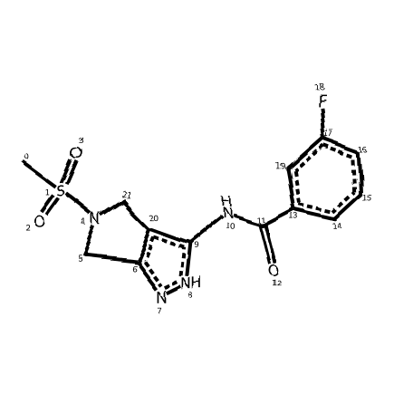 CS(=O)(=O)N1Cc2n[nH]c(NC(=O)c3cccc(F)c3)c2C1